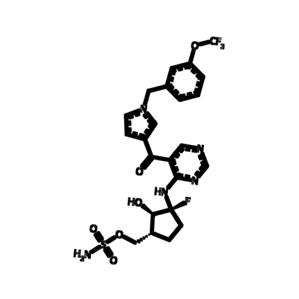 NS(=O)(=O)OC[C@H]1CC[C@@](F)(Nc2ncncc2C(=O)c2ccn(Cc3cccc(OC(F)(F)F)c3)c2)[C@@H]1O